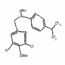 CCCCN(Cc1cc(Cl)c(OC)c(Cl)c1)c1ccc(C(C(F)(F)F)C(F)(F)F)cc1